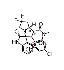 CN(C(=O)[C@@H]1C(C(=O)O)C2(C(=O)Nc3ccccc32)N2CC(F)(F)C[C@H]12)c1cc(Cl)cc(Cl)c1